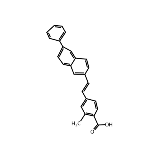 Cc1cc(C=Cc2ccc3cc(-c4ccccc4)ccc3c2)ccc1C(=O)O